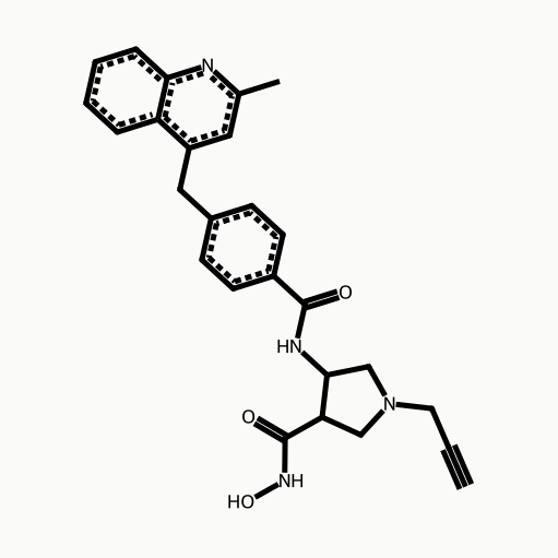 C#CCN1CC(NC(=O)c2ccc(Cc3cc(C)nc4ccccc34)cc2)C(C(=O)NO)C1